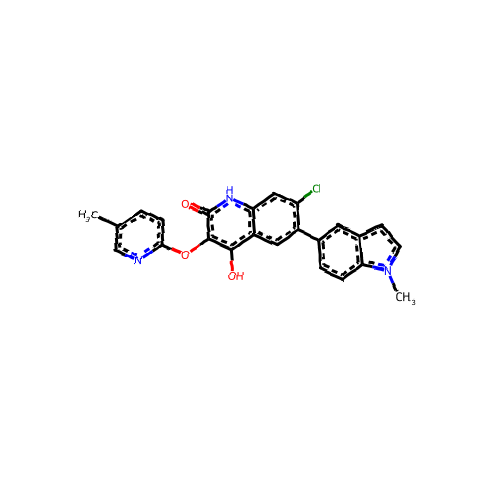 Cc1ccc(Oc2c(O)c3cc(-c4ccc5c(ccn5C)c4)c(Cl)cc3[nH]c2=O)nc1